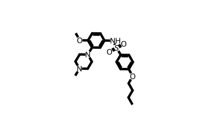 CCCCOc1ccc(S(=O)(=O)Nc2ccc(OC)c(N3CCN(C)CC3)c2)cc1